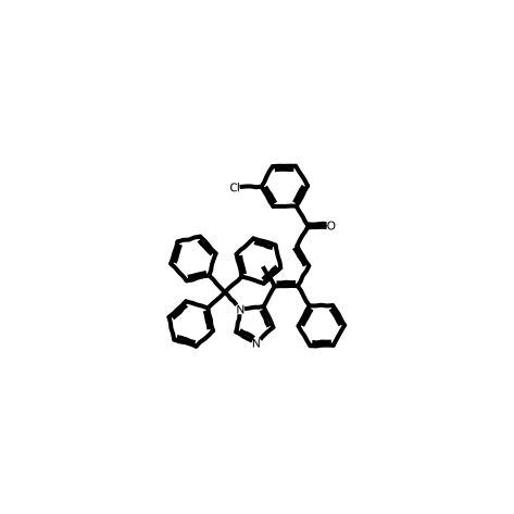 CC(=C(C=CC(=O)c1cccc(Cl)c1)c1ccccc1)c1cncn1C(c1ccccc1)(c1ccccc1)c1ccccc1